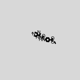 CCOC(=O)c1ccc(NC(=O)Nc2cnc3cn(C)ccc2-3)cc1